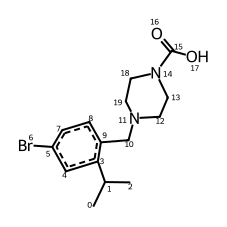 CC(C)c1cc(Br)ccc1CN1CCN(C(=O)O)CC1